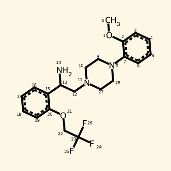 COc1ccccc1N1CCN(CC(N)c2ccccc2OCC(F)(F)F)CC1